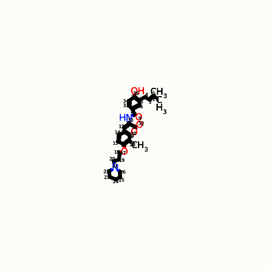 CC(C)=CCc1cc(C(=O)Nc2cc3ccc(OCCCN4CCCCC4)c(C)c3oc2=O)ccc1O